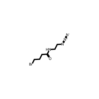 [N-]=[N+]=NCCNC(=O)CCCBr